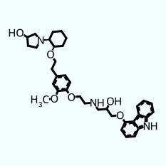 COc1cc(CCO[C@@H]2CCCC[C@@H]2N2CCC(O)C2)ccc1OCCNCC(O)COc1cccc2[nH]c3ccccc3c12